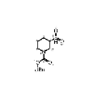 CC(C)(C)OC(=O)N1CCC[C@@H]([SH](=O)=O)C1